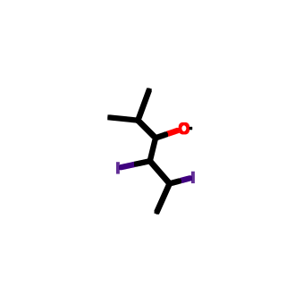 CC(C)C([O])C(I)C(C)I